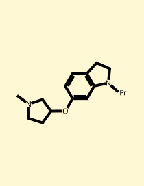 CC(C)N1CCc2ccc(OC3CCN(C)C3)cc21